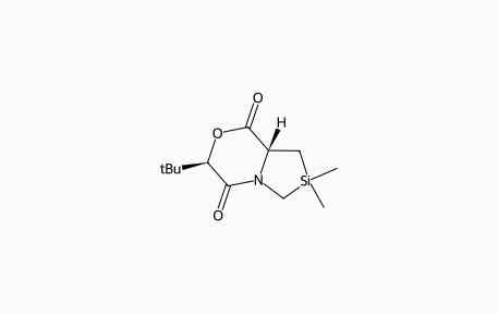 CC(C)(C)[C@H]1OC(=O)[C@@H]2C[Si](C)(C)CN2C1=O